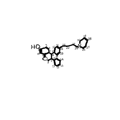 Oc1ccc2c(c1)OCC(c1ccccc1)C2c1ccc(CCCCN2CCCCC2)cc1